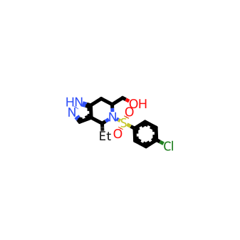 CCC1c2cn[nH]c2CC(CO)N1S(=O)(=O)c1ccc(Cl)cc1